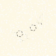 COc1ccc2c(c1)N(C)CC(C)N2S(=O)(=O)c1ccc(N2CC(O)CC2=O)cc1